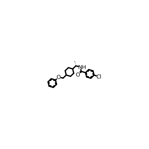 C[C@H](NC(=O)c1ccc(Cl)cc1)C1CCC(COc2ccccc2)CC1